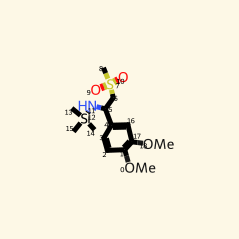 COc1ccc(C(CS(C)(=O)=O)N[Si](C)(C)C)cc1OC